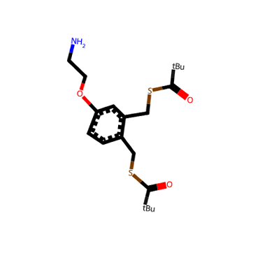 CC(C)(C)C(=O)SCc1ccc(OCCN)cc1CSC(=O)C(C)(C)C